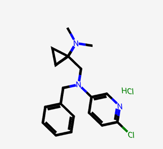 CN(C)C1(CN(Cc2ccccc2)c2ccc(Cl)nc2)CC1.Cl